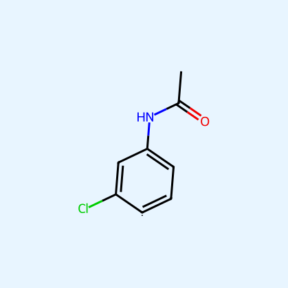 CC(=O)Nc1cc[c]c(Cl)c1